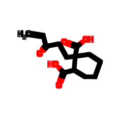 C=CC(=O)CCC1(C(=O)O)CCCCC1C(=O)O